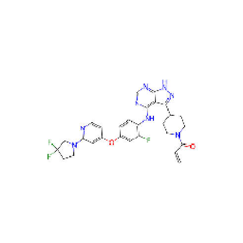 C=CC(=O)N1CCC(c2n[nH]c3ncnc(Nc4ccc(Oc5ccnc(N6CCC(F)(F)C6)c5)cc4F)c23)CC1